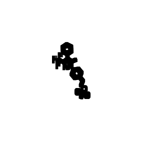 Cc1c(-c2ccccc2)c(C(F)(F)F)nn1-c1ccc(CCOS(C)(=O)=O)cc1